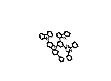 c1ccc(-c2ccc3c4ccc(-n5c6ccccc6c6ccccc65)cc4n(-c4cc(-c5nc(-c6ccccc6)nc(-c6ccccc6)n5)cc(-c5cccc6c5sc5ccccc56)c4)c3c2)cc1